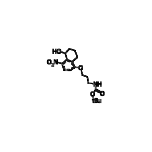 CC(C)(C)OC(=O)NCCCOc1ccc([N+](=O)[O-])c2c1CCCC2O